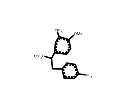 CCOC(=O)C(Cc1ccc([N+](=O)[O-])cc1)c1ccc(OC)c(N)c1